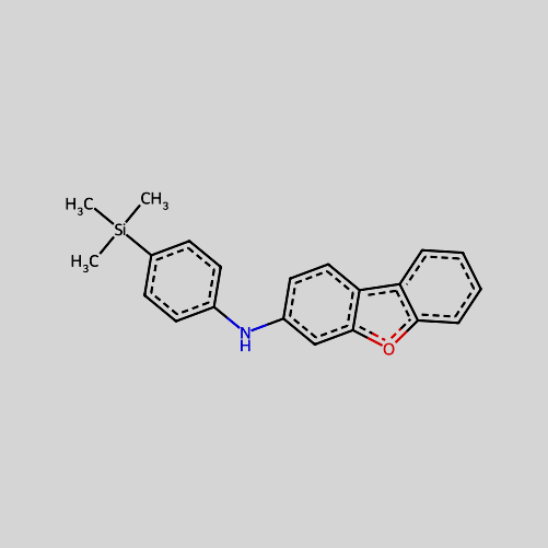 C[Si](C)(C)c1ccc(Nc2ccc3c(c2)oc2ccccc23)cc1